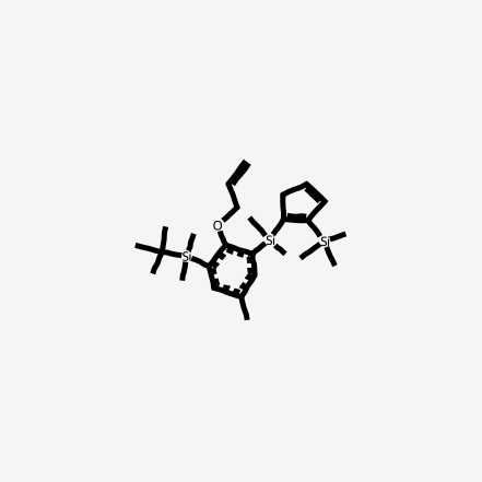 C=CCOc1c([Si](C)(C)C2=C([Si](C)(C)C)C=CC2)cc(C)cc1[Si](C)(C)C(C)(C)C